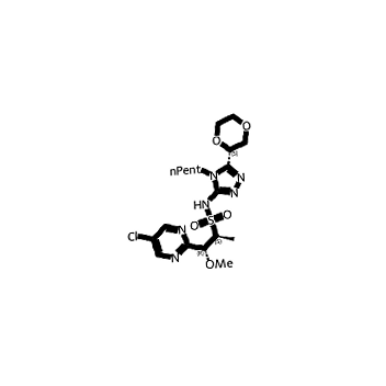 CCCCCn1c(NS(=O)(=O)[C@@H](C)[C@H](OC)c2ncc(Cl)cn2)nnc1[C@H]1COCCO1